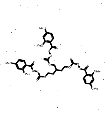 COc1ccc(C(=O)OOC(=O)OCCC(CCOC(=O)OOC(=O)c2ccc(OC)cc2OC)COC(=O)OOC(=O)c2ccc(OC)cc2OC)c(OC)c1